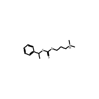 CC(SC(=S)SCCC[SiH](C)C)c1ccccc1